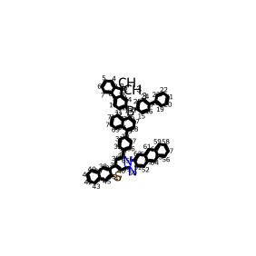 CC1(C)c2ccccc2-c2ccc(B(c3ccc(-c4ccccc4)cc3)c3ccc(-c4ccc(-c5cc6c7cc8ccccc8cc7sc6c6nc7cc8cc9ccccc9cc8cc7n56)cc4)c4ccccc34)cc21